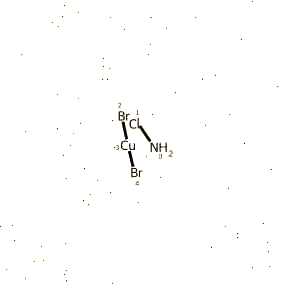 NCl.[Br][Cu][Br]